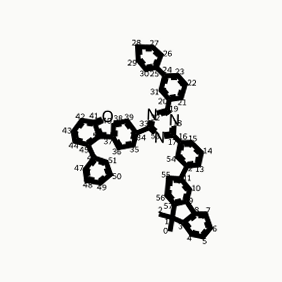 CC1(C)c2ccccc2-c2cc(-c3cccc(-c4nc(-c5cccc(-c6ccccc6)c5)nc(-c5ccc6c(c5)oc5cccc(-c7ccccc7)c56)n4)c3)ccc21